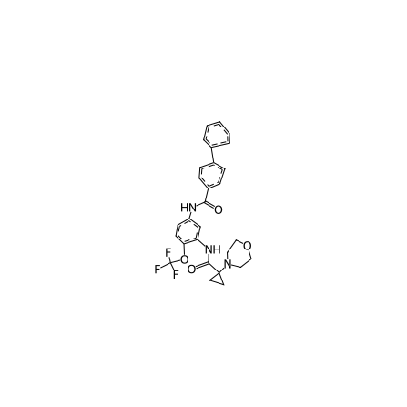 O=C(Nc1ccc(OC(F)(F)F)c(NC(=O)C2(N3CCOCC3)CC2)c1)c1ccc(-c2ccccc2)cc1